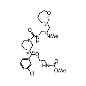 CN[C@H](CNC(=O)N1CCC[C@@H]([C@@H](OCCNC(=O)OC)c2cccc(Cl)c2)C1)C[C@H]1CCCCOC1